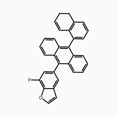 Fc1cc(-c2c3ccccc3c(-c3cccc4c3C=CCC4)c3ccccc23)cc2ccoc12